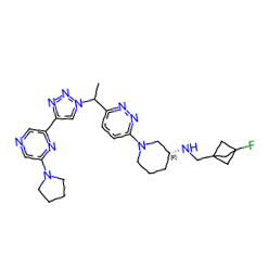 CC(c1ccc(N2CCC[C@@H](NCC34CC(F)(C3)C4)C2)nn1)n1cc(-c2cncc(N3CCCC3)n2)nn1